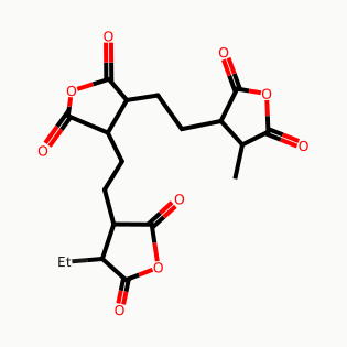 CCC1C(=O)OC(=O)C1CCC1C(=O)OC(=O)C1CCC1C(=O)OC(=O)C1C